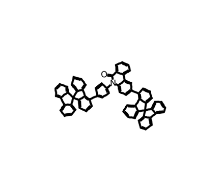 O=c1c2ccccc2c2cc(-c3cccc4c3-c3ccccc3C43c4ccccc4-c4ccccc43)ccc2n1-c1ccc(-c2cccc3c2-c2ccccc2C32c3ccccc3-c3ccccc32)cc1